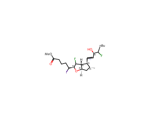 CCCCC(F)[C@H](O)/C=C/[C@@H]1[C@H]2C(F)[C@H](C(I)CCCC(=O)OC)O[C@@H]2C[C@H]1C